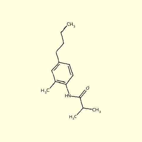 CCCCc1ccc(NC(=O)C(C)C)c(C)c1